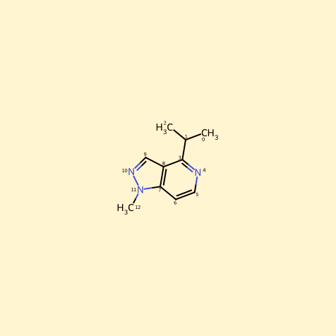 CC(C)c1nccc2c1cnn2C